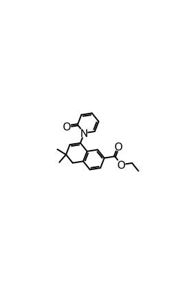 CCOC(=O)c1ccc2c(c1)C(n1ccccc1=O)=CC(C)(C)C2